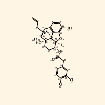 C=CCN1CC[C@]23c4c5ccc(O)c4O[C@H]2[C@H](NC(=O)Cc2ccc(Cl)c(Cl)c2)CC[C@@]3(O)[C@H]1C5